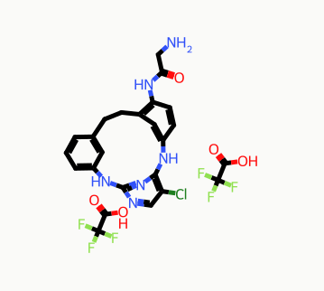 NCC(=O)Nc1ccc2cc1CCc1cccc(c1)Nc1ncc(Cl)c(n1)N2.O=C(O)C(F)(F)F.O=C(O)C(F)(F)F